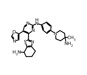 CC1(N)CCN(c2ccc(Nc3ncc(-c4cnco4)c(-c4nc5c(s4)C(N)CCC5)n3)cc2)CC1